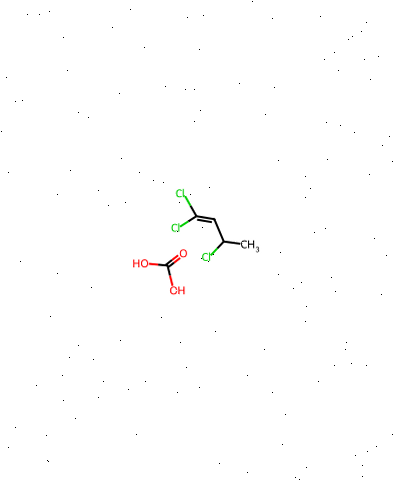 CC(Cl)C=C(Cl)Cl.O=C(O)O